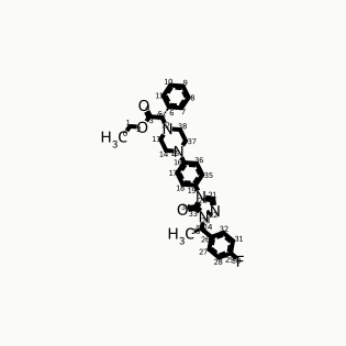 CCOC(=O)[C@H](c1ccccc1)N1CCN(c2ccc(-n3cnn([C@H](C)c4ccc(F)cc4)c3=O)cc2)CC1